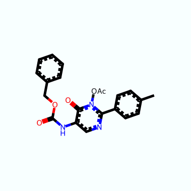 CC(=O)On1c(-c2ccc(C)cc2)ncc(NC(=O)OCc2ccccc2)c1=O